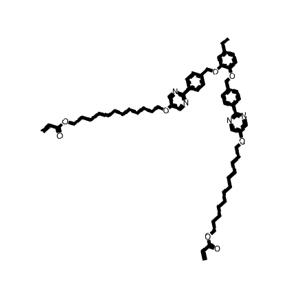 C=CC(=O)OCCCCCCCCCCCCOc1cnc(-c2ccc(COc3ccc(CC)cc3OCc3ccc(-c4ncc(OCCCCCCCCCCCCOC(=O)C=C)cn4)cc3)cc2)nc1